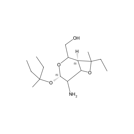 CCC(C)(CC)O[C@@H]1OC(CO)[C@@H]2C(OC2(C)CC)C1N